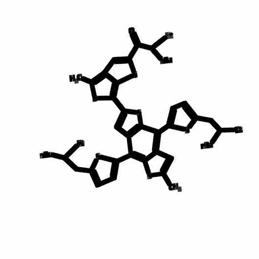 CCCCC(CC)Cc1ccc(-c2c3cc(-c4sc(C)c5cc(C(=O)C(CC)CCCC)sc45)sc3c(-c3ccc(CC(CC)CCCC)s3)c3cc(C)sc23)s1